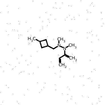 C=CC(=C)N(C)N(C)CC1CC(C)C1